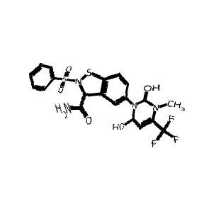 CN1C(C(F)(F)F)=CC(O)N(c2ccc3c(c2)C(C(N)=O)N(S(=O)(=O)c2ccccc2)S3)C1O